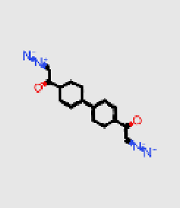 [N-]=[N+]=CC(=O)C1CCC(C2CCC(C(=O)C=[N+]=[N-])CC2)CC1